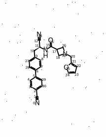 N#Cc1ccc(-c2ccc(C[C@@H](C#N)NC(=O)C3CN(Cc4ccco4)C3)cc2)cc1